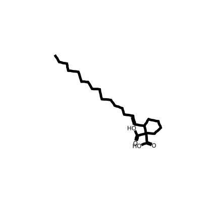 CCCCCCCCCCCCCCC=CC1CCCCC1(C(=O)O)C(=O)O